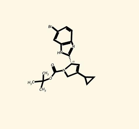 CC(C)(C)OC(=O)N1CC(C2CC2)=C[C@H]1c1nc2ccc(Br)cc2[nH]1